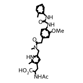 COc1cc(CC(=O)N(C)Cc2cc(CC(NC(C)=O)C(=O)O)c(C)[nH]2)ccc1NC(=O)Nc1ccccc1C